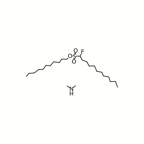 CCCCCCCCCCCOS(=O)(=O)C(F)CCCCCCCCCCC.CNC